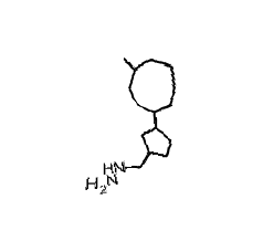 CC1CCCCC(C2CCC(CNN)C2)CC1